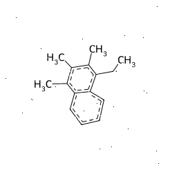 C[CH]c1c(C)c(C)c(C)c2ccccc12